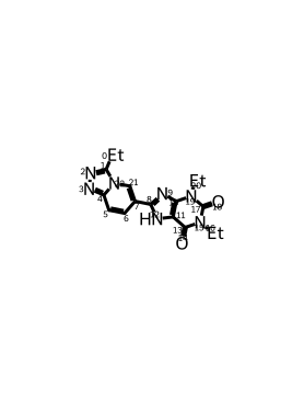 CCc1nnc2ccc(-c3nc4c([nH]3)c(=O)n(CC)c(=O)n4CC)cn12